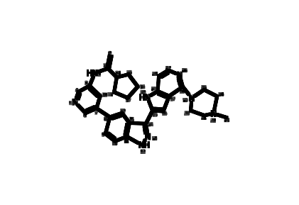 C=C(Nc1cncc(-c2ccc3[nH]nc(-c4cc5c(N6CCN(C)CC6)nccc5[nH]4)c3c2)c1)C1CCCC1